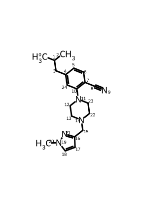 CC(C)Cc1ccc(C#N)c(N2CCN(Cc3ccn(C)n3)CC2)c1